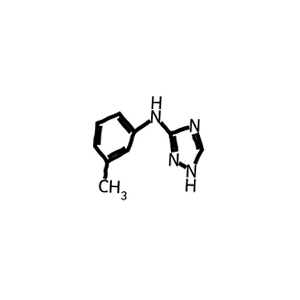 Cc1cccc(Nc2nc[nH]n2)c1